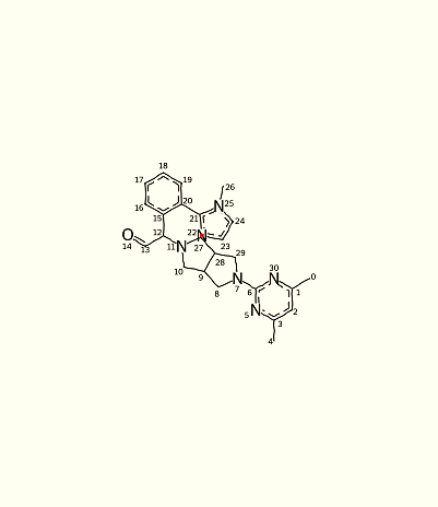 Cc1cc(C)nc(N2CC3CN(C(C=O)c4ccccc4-c4nccn4C)CC3C2)n1